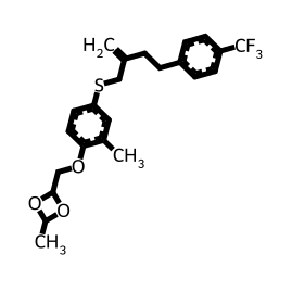 C=C(CCc1ccc(C(F)(F)F)cc1)CSc1ccc(OCC2OC(C)O2)c(C)c1